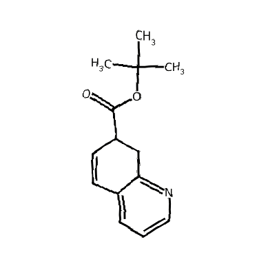 CC(C)(C)OC(=O)C1C=Cc2cccnc2C1